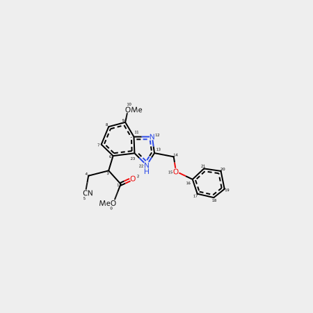 COC(=O)C(CC#N)c1ccc(OC)c2nc(COc3ccccc3)[nH]c12